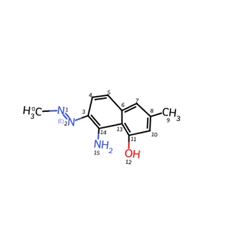 C/N=N/c1ccc2cc(C)cc(O)c2c1N